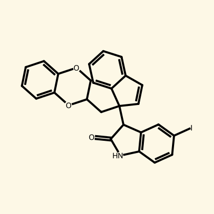 O=C1Nc2ccc(I)cc2C1C1(CC2COc3ccccc3O2)C=Cc2ccccc21